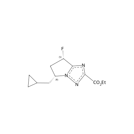 CCOC(=O)c1nc2n(n1)[C@H](CC1CC1)C[C@@H]2F